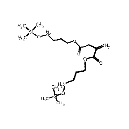 C=C(CC(=O)OCCC[SiH2]O[Si](C)(C)C)C(=O)OCCC[SiH2]O[Si](C)(C)C